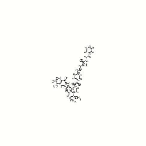 CCC1C(=O)OCc2c1cc1n(c2=O)Cc2c-1nc1cc(P)c(C)c3c1c2C(NC(=O)c1ccc(COCNC(=O)CCCc2ccccc2)cc1)CC3